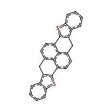 c1ccc2c3c(sc2c1)-c1ccc2c4c(ccc(c14)C3)-c1sc3ccccc3c1C2